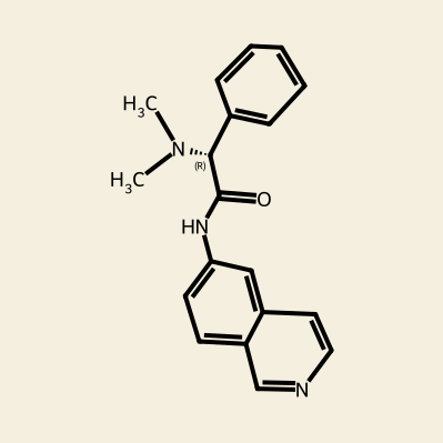 CN(C)[C@@H](C(=O)Nc1ccc2cnccc2c1)c1ccccc1